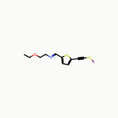 CCOCC/N=C/c1ccc(C#CSI)s1